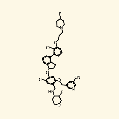 N#Cc1cncc(COc2cc(O[C@H]3CCc4c(-c5cccc(OCCCN6CCC(F)CC6)c5Cl)cccc43)c(Cl)cc2CN[C@@H]2CCOC[C@@H]2F)c1